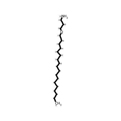 CCCCCCCCCCCCCCCCCCOCCCN